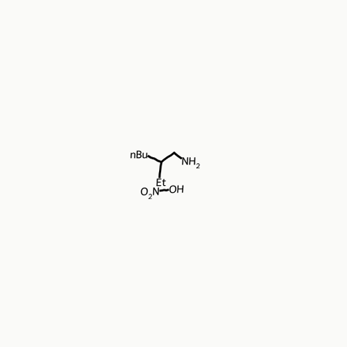 CCCCC(CC)CN.O=[N+]([O-])O